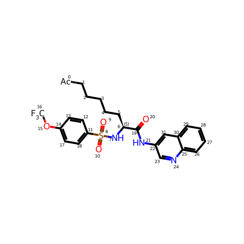 CC(=O)CCCCC[C@H](NS(=O)(=O)c1ccc(OC(F)(F)F)cc1)C(=O)Nc1cnc2ccccc2c1